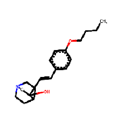 CCCCOc1ccc(C=CC2(O)CN3CCC2CC3)cc1